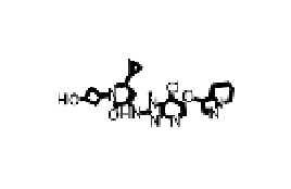 Cn1c(Nc2cc(C3CC3)cn(C3CC(O)C3)c2=O)nc2ncc(Oc3cnn4ccccc34)c(Cl)c21